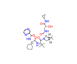 CC(C)(C)[C@H](NC(=O)[C@@H](NC(=O)c1cnccn1)C1CCCCC1)C(=O)N1C[C@H]2[C@@H]([C@H]1C(=O)NCC(O)C(=O)NC1CC1)C2(C)C